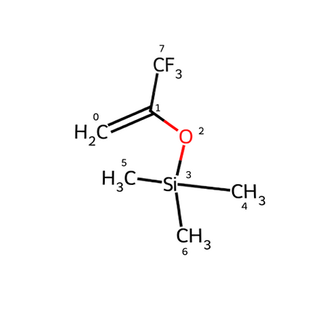 C=C(O[Si](C)(C)C)C(F)(F)F